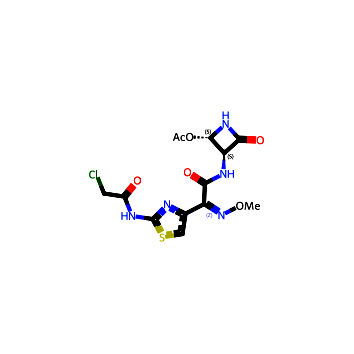 CO/N=C(\C(=O)N[C@@H]1C(=O)N[C@H]1OC(C)=O)c1csc(NC(=O)CCl)n1